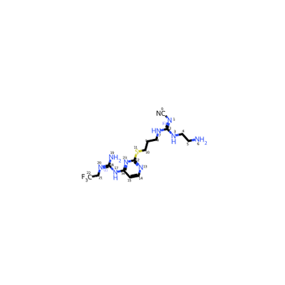 N#C/N=C(/NCCN)NCCCSc1nccc(N/C(N)=N\CC(F)(F)F)n1